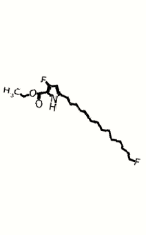 CCOC(=O)c1[nH]c(CCCCCCCCCCCCCCF)cc1F